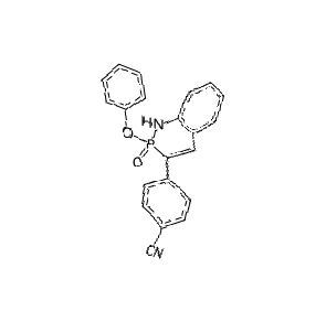 N#Cc1ccc(C2=Cc3ccccc3NP2(=O)Oc2ccccc2)cc1